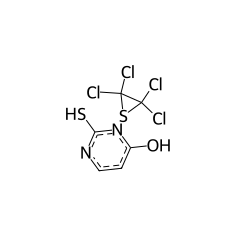 ClC1(Cl)SC1(Cl)Cl.Oc1ccnc(S)n1